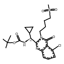 CC(C)(C)OC(=O)N[C@H](c1nc2cccc(Cl)c2c(=O)n1CCCCS(C)(=O)=O)C1CC1